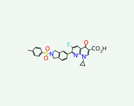 Cc1ccc(S(=O)(=O)N2Cc3ccc(-c4nc5c(cc4F)c(=O)c(C(=O)O)cn5C4CC4)cc3C2)cc1